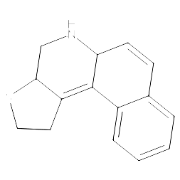 C1=CC2NCC3SCCC3=C2c2ccccc21